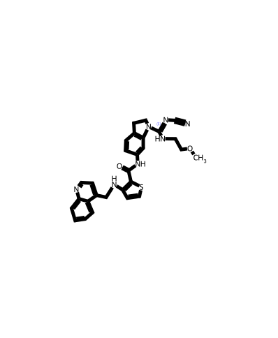 COCCN/C(=N\C#N)N1CCc2ccc(NC(=O)c3sccc3NCc3ccnc4ccccc34)cc21